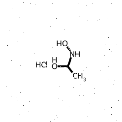 CC(O)NO.Cl